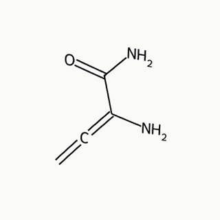 C=C=C(N)C(N)=O